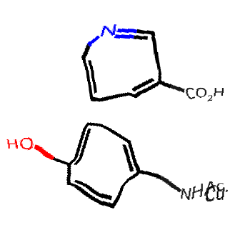 CC(=O)Nc1ccc(O)cc1.O=C(O)c1cccnc1.[Cu]